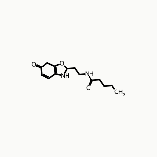 CCCCC(=O)NCCC1NC2=C(CC(=O)C=C2)O1